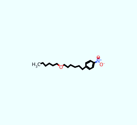 CCCCCCOCCCCCCc1ccc([N+](=O)[O-])cc1